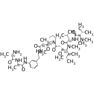 CC[C@H](C)[C@@H]([C@@H](CC(=O)N1CCC[C@H]1[C@H](OC)[C@@H](C)C(=O)NCCc1cccc(NC(=O)[C@H](C)NC(=O)[C@H](C)N)c1)OC)N(C)C(=O)[C@@H](NC(=O)[C@H](C(C)C)N(C)C)C(C)C